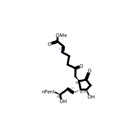 CCCCC[C@H](O)/C=C/[C@H]1[C@H](O)CC(=O)[C@@H]1CC(=O)CC/C=C/C(=O)OC